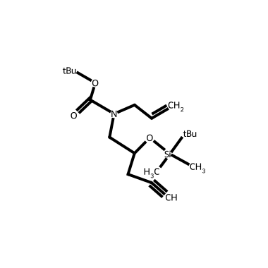 C#CCC(CN(CC=C)C(=O)OC(C)(C)C)O[Si](C)(C)C(C)(C)C